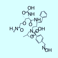 CC(C)CN(C[C@@H](O)[C@H](Cc1ccccc1)NC(=O)[C@@H](NC(=O)O)[C@@H](C)OCC(N)=O)S(=O)(=O)c1ccc(C=NO)cc1